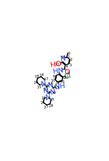 Cc1ccc(C(=O)Nc2ccc(Nc3nc(N4CCCCC4)nc(N4CCCCC4)n3)cc2Cl)c(O)n1